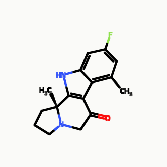 Cc1cc(F)cc2[nH]c3c(c12)C(=O)CN1CCC[C@]31C